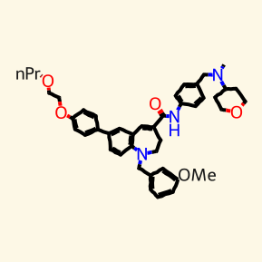 CCCOCCOc1ccc(-c2ccc3c(c2)C=C(C(=O)Nc2ccc(CN(C)C4CCOCC4)cc2)CCN3Cc2cccc(OC)c2)cc1